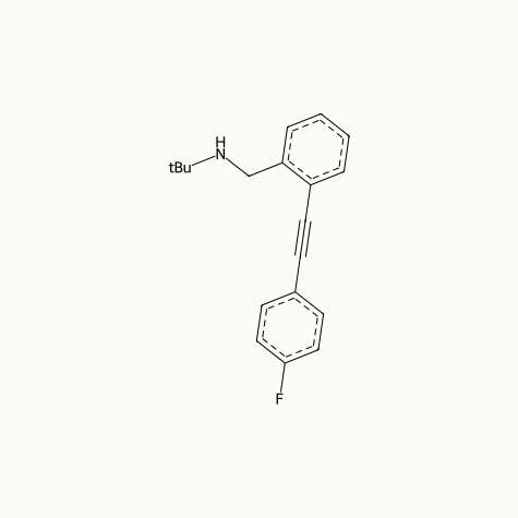 CC(C)(C)NCc1ccccc1C#Cc1ccc(F)cc1